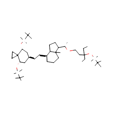 CCC(CC)(CCO[C@H](C)C1CCC2/C(=C/C=C3C[C@@H](O[Si](C)(C)C(C)(C)C)C4(CC4)[C@H](O[Si](C)(C)C(C)(C)C)C3)CCCC21C)O[Si](C)(C)C(C)(C)C